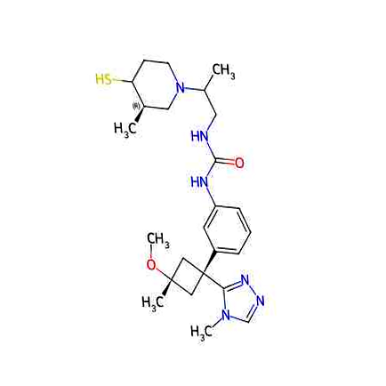 CO[C@]1(C)C[C@](c2cccc(NC(=O)NCC(C)N3CCC(S)[C@H](C)C3)c2)(c2nncn2C)C1